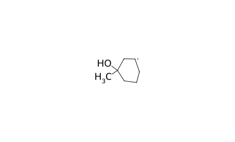 CC1(O)C[CH]CCC1